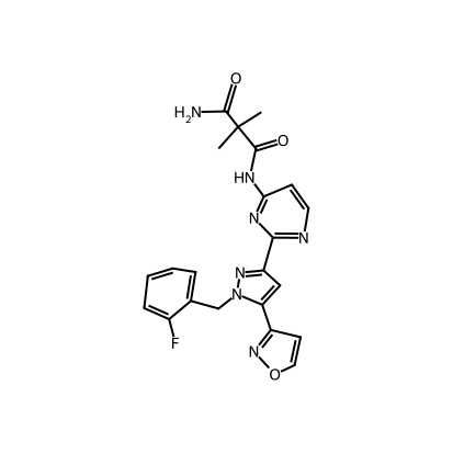 CC(C)(C(N)=O)C(=O)Nc1ccnc(-c2cc(-c3ccon3)n(Cc3ccccc3F)n2)n1